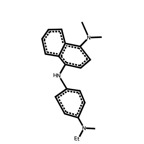 CCN(C)c1ccc(Nc2ccc(N(C)C)c3ccccc23)cc1